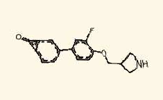 O=c1c2ccc(-c3ccc(OCC4CNC4)c(F)c3)cc12